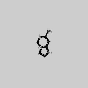 Nc1cc2nccn2cn1